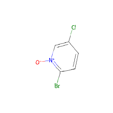 [O-][n+]1cc(Cl)ccc1Br